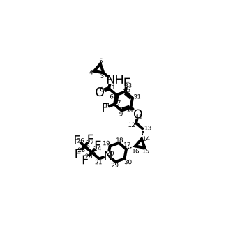 O=C(NC1CC1)c1c(F)cc(OCC[C@@H]2C[C@@H]2C2CCN(CC(F)(F)C(F)(F)F)CC2)cc1F